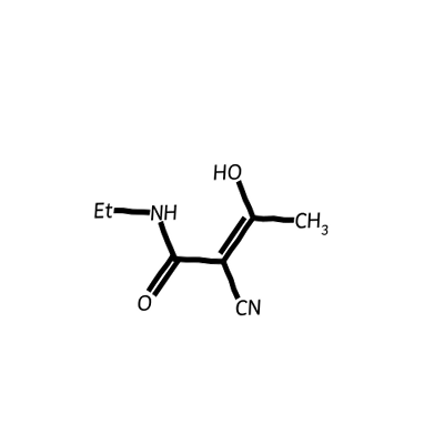 CCNC(=O)C(C#N)=C(C)O